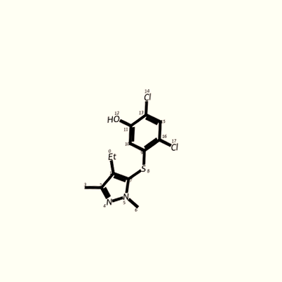 CCc1c(C)nn(C)c1Sc1cc(O)c(Cl)cc1Cl